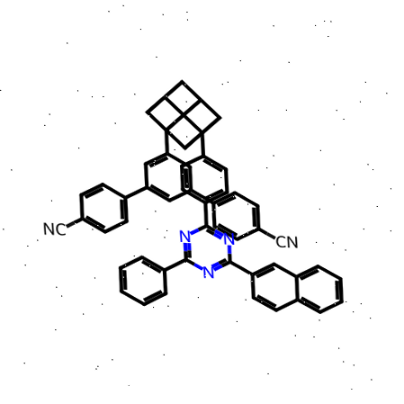 N#Cc1ccc(-c2cc(-c3ccc(C#N)cc3)cc(C34CC5CC6CC(c7ccc(-c8nc(-c9ccccc9)nc(-c9ccc%10ccccc%10c9)n8)cc7)(C3)C654)c2)cc1